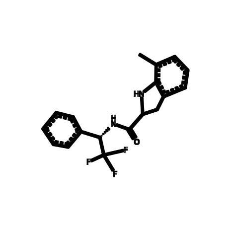 Cc1cccc2c1NC(C(=O)N[C@@H](c1ccccc1)C(F)(F)F)C2